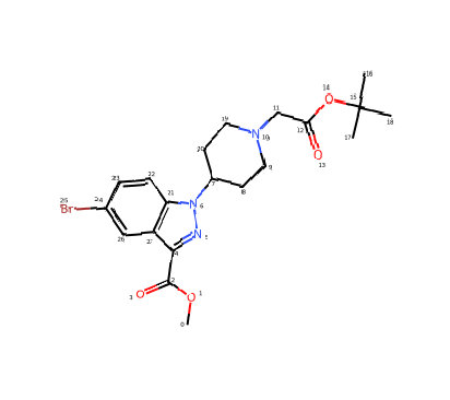 COC(=O)c1nn(C2CCN(CC(=O)OC(C)(C)C)CC2)c2ccc(Br)cc12